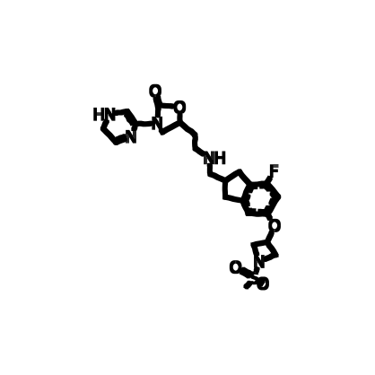 CS(=O)(=O)N1CC(Oc2cc(F)c3c(c2)CC(CNCCC2CN(C4=CNCC=N4)C(=O)O2)C3)C1